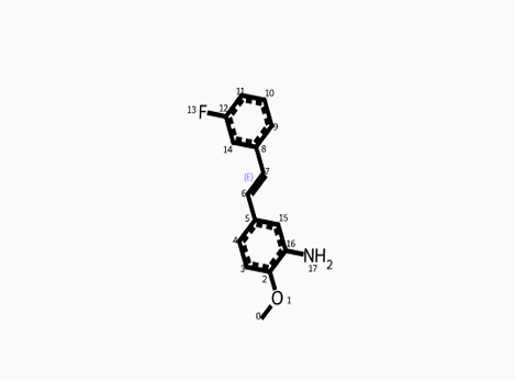 COc1ccc(/C=C/c2cccc(F)c2)cc1N